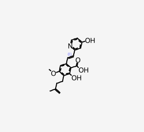 C=C(C)CCc1c(OC)cc(/C=C/c2cc(O)ccn2)c(C(=O)O)c1O